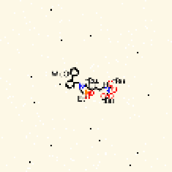 CCOP1(=O)CCN(Cc2ccccc2-c2ccccc2OC)C(C(C)(C)C)C1(CCCCN(C(=O)OC(C)(C)C)C(=O)OC(C)(C)C)C(=O)O